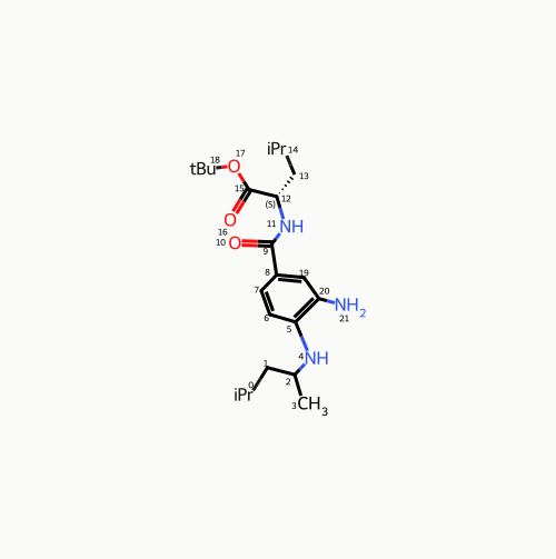 CC(C)CC(C)Nc1ccc(C(=O)N[C@@H](CC(C)C)C(=O)OC(C)(C)C)cc1N